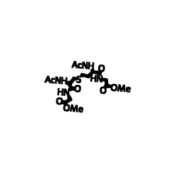 COC(=O)CNC(=O)C(CCSC[C@H](NC(C)=O)C(=O)NCC(=O)OC)NC(C)=O